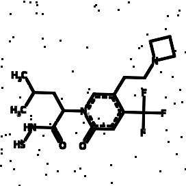 CC(C)CC(C(=O)NS)n1cc(CCN2CCC2)c(C(F)(F)F)cc1=O